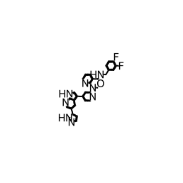 CN(c1cc(-c2c[nH]c3ncc(-c4ccn[nH]4)cc23)ccn1)c1ncccc1C(=O)NCc1ccc(F)c(F)c1